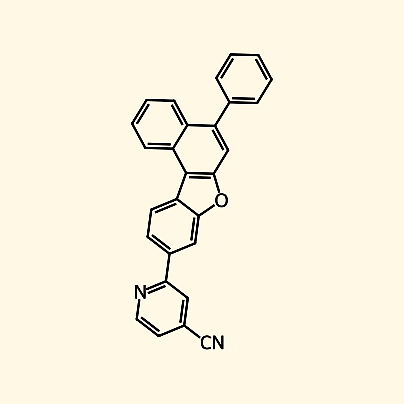 N#Cc1ccnc(-c2ccc3c(c2)oc2cc(-c4ccccc4)c4ccccc4c23)c1